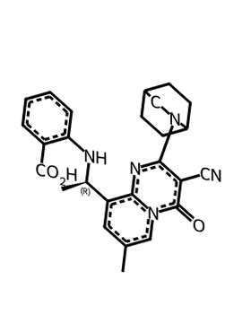 Cc1cc([C@@H](C)Nc2ccccc2C(=O)O)c2nc(N3CC4CCC3CC4)c(C#N)c(=O)n2c1